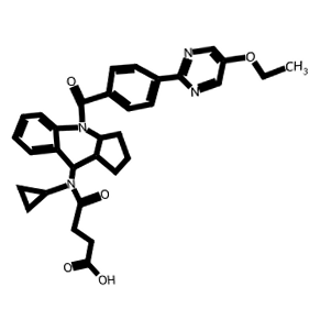 CCOc1cnc(-c2ccc(C(=O)N3c4ccccc4C(N(C(=O)CCC(=O)O)C4CC4)C4CCCC43)cc2)nc1